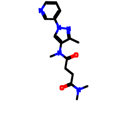 Cc1nn(-c2cccnc2)cc1N(C)C(=O)CCC(=O)N(C)C